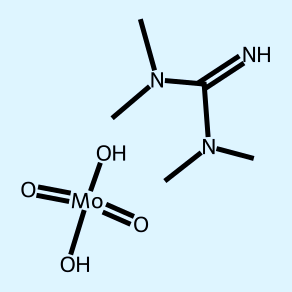 CN(C)C(=N)N(C)C.[O]=[Mo](=[O])([OH])[OH]